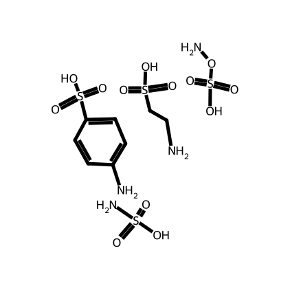 NCCS(=O)(=O)O.NOS(=O)(=O)O.NS(=O)(=O)O.Nc1ccc(S(=O)(=O)O)cc1